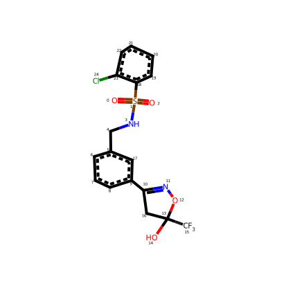 O=S(=O)(NCc1cccc(C2=NOC(O)(C(F)(F)F)C2)c1)c1ccccc1Cl